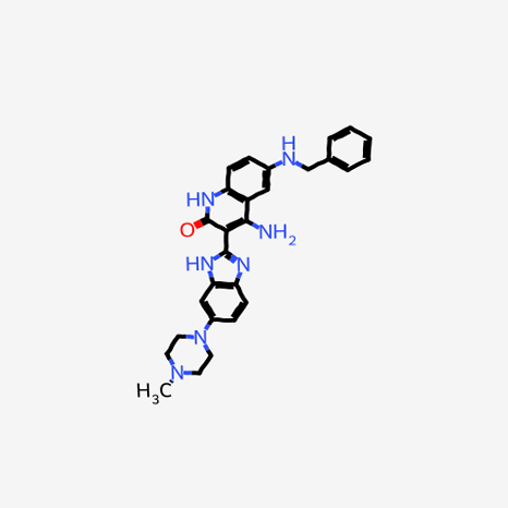 CN1CCN(c2ccc3nc(-c4c(N)c5cc(NCc6ccccc6)ccc5[nH]c4=O)[nH]c3c2)CC1